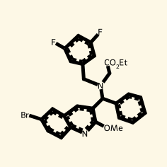 CCOC(=O)CN(Cc1cc(F)cc(F)c1)C(c1ccccc1)c1cc2cc(Br)ccc2nc1OC